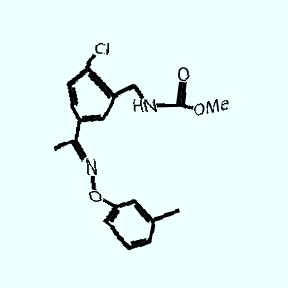 COC(=O)NCc1cc(C(C)=NOc2cccc(C)c2)ccc1Cl